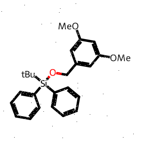 COc1cc(CO[Si](c2ccccc2)(c2ccccc2)C(C)(C)C)cc(OC)c1